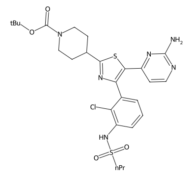 CCCS(=O)(=O)Nc1cccc(-c2nc(C3CCN(C(=O)OC(C)(C)C)CC3)sc2-c2ccnc(N)n2)c1Cl